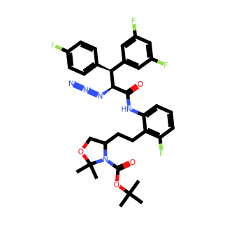 CC(C)(C)OC(=O)N1C(CCc2c(F)cccc2NC(=O)[C@@H](N=[N+]=[N-])[C@@H](c2ccc(F)cc2)c2cc(F)cc(F)c2)COC1(C)C